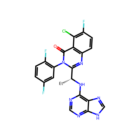 CC[C@@H](Nc1ncnc2[nH]cnc12)c1nc2ccc(F)c(Cl)c2c(=O)n1-c1cc(F)ccc1F